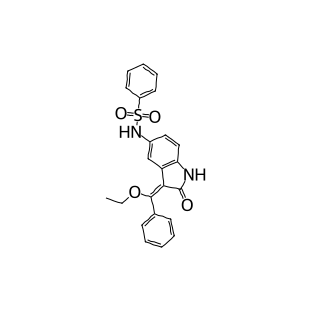 CCO/C(=C1/C(=O)Nc2ccc(NS(=O)(=O)c3ccccc3)cc21)c1ccccc1